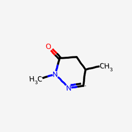 CC1[C]=NN(C)C(=O)C1